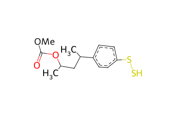 COC(=O)OC(C)CC(C)c1ccc(SS)cc1